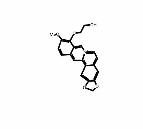 COc1ccc2cc3c4cc5c(cc4cc[n+]3cc2c1OCCO)OCO5